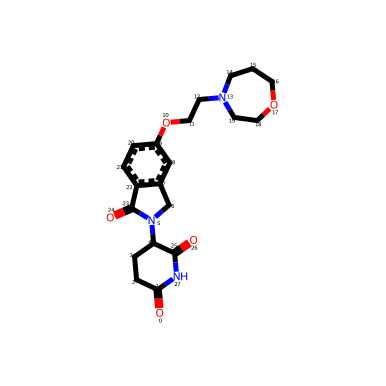 O=C1CCC(N2Cc3cc(OCCN4CCCOCC4)ccc3C2=O)C(=O)N1